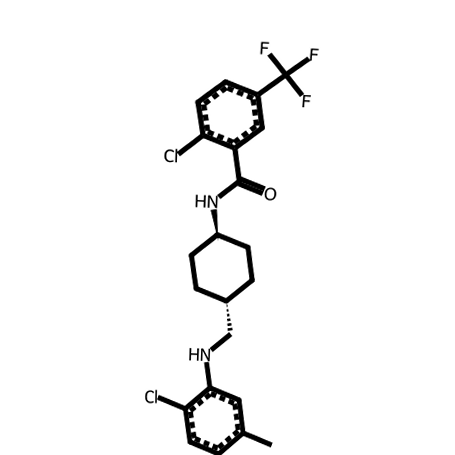 Cc1ccc(Cl)c(NC[C@H]2CC[C@H](NC(=O)c3cc(C(F)(F)F)ccc3Cl)CC2)c1